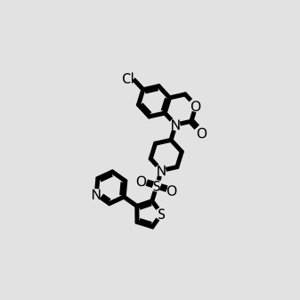 O=C1OCc2cc(Cl)ccc2N1C1CCN(S(=O)(=O)c2sccc2-c2cccnc2)CC1